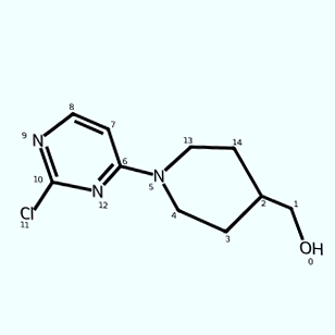 OCC1CCN(c2ccnc(Cl)n2)CC1